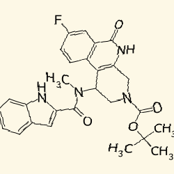 CN(C(=O)c1cc2ccccc2[nH]1)C1CN(C(=O)OC(C)(C)C)Cc2[nH]c(=O)c3cc(F)ccc3c21